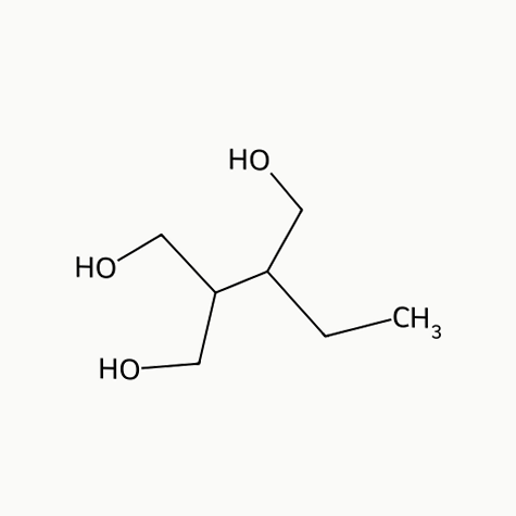 CCC(CO)C(CO)CO